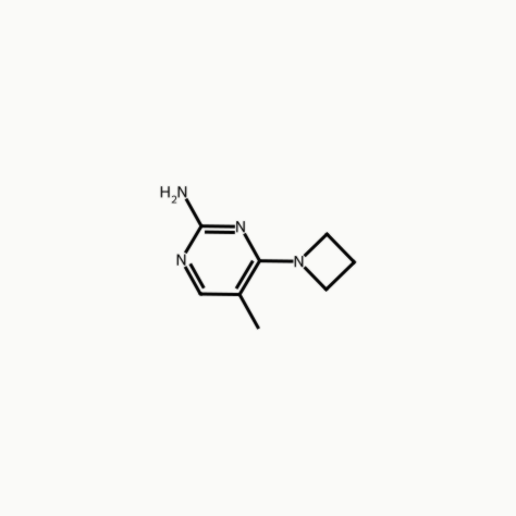 Cc1cnc(N)nc1N1CCC1